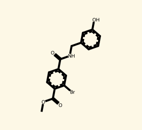 COC(=O)c1ccc(C(=O)NCc2cccc(O)c2)cc1Br